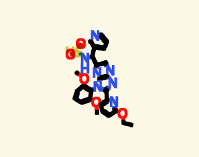 CCOc1cccc(-c2nc3ncc(C(N[SH](=O)=O)c4cccnc4)nc3n2-c2c(OC)cccc2OC)n1